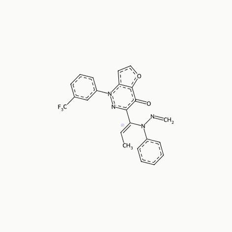 C=NN(/C(=C\C)c1nn(-c2cccc(C(F)(F)F)c2)c2ccoc2c1=O)c1ccccc1